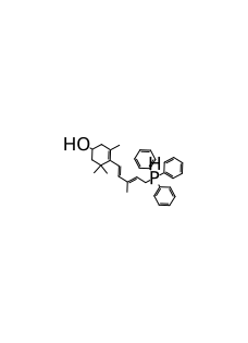 CC(C=CC1=C(C)CC(O)CC1(C)C)=CC[PH](c1ccccc1)(c1ccccc1)c1ccccc1